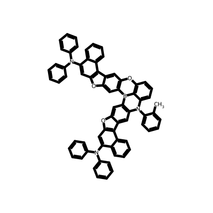 Cc1ccccc1N1c2cc3c(cc2B2c4cc5oc6cc(N(c7ccccc7)c7ccccc7)c7ccccc7c6c5cc4Oc4cccc1c42)oc1cc(N(c2ccccc2)c2ccccc2)c2ccccc2c13